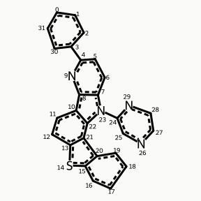 c1ccc(-c2ccc3c(n2)c2ccc4sc5ccccc5c4c2n3-c2cnccn2)cc1